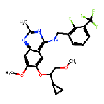 COCC(Oc1cc2c(NCc3cccc(C(F)(F)F)c3F)nc(C)nc2cc1OC)C1CC1